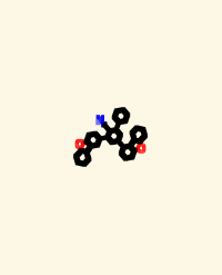 N#Cc1c(-c2ccccc2)cc(-c2cccc3oc4ccccc4c23)cc1-c1ccc2oc3ccccc3c2c1